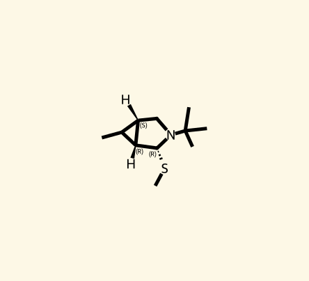 CS[C@@H]1[C@@H]2C(C)[C@@H]2CN1C(C)(C)C